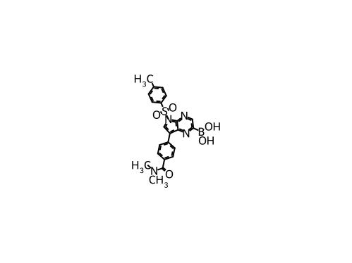 Cc1ccc(S(=O)(=O)n2cc(-c3ccc(C(=O)N(C)C)cc3)c3nc(B(O)O)cnc32)cc1